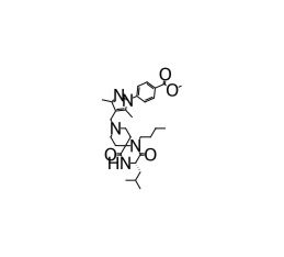 CCCCN1C(=O)[C@H](CC(C)C)NC(=O)C12CCN(Cc1c(C)nn(-c3ccc(C(=O)OC)cc3)c1C)CC2